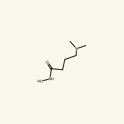 CN(C)CCCC(=O)NO